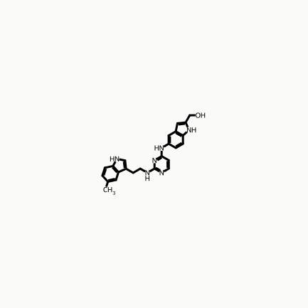 Cc1ccc2[nH]cc(CCNc3nccc(Nc4ccc5[nH]c(CO)cc5c4)n3)c2c1